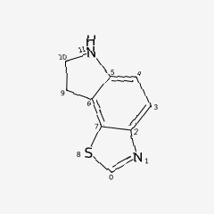 c1nc2ccc3c(c2s1)CCN3